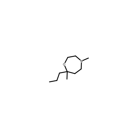 CCCC1(C)CCN(C)CCO1